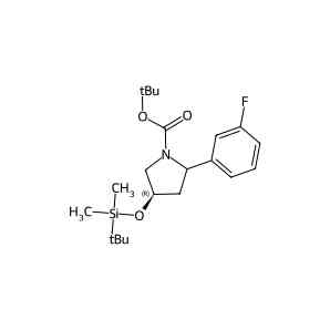 CC(C)(C)OC(=O)N1C[C@H](O[Si](C)(C)C(C)(C)C)CC1c1cccc(F)c1